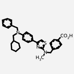 CN(Cc1ccc(C(=O)O)cc1)c1nc(-c2ccc(N(Cc3ccccc3)CC3CCCCC3)cc2)cs1